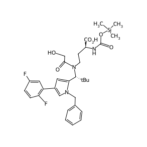 CC(C)(C)[C@H](c1cc(-c2cc(F)ccc2F)cn1Cc1ccccc1)N(CC[C@H](NC(=O)O[Si](C)(C)C)C(=O)O)C(=O)CO